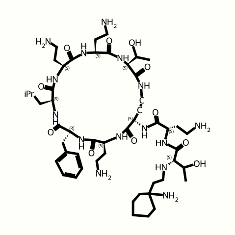 CC(C)C[C@@H]1NC(=O)[C@@H](Cc2ccccc2)NC(=O)[C@H](CCN)NC(=O)[C@@H](NC(=O)[C@H](CCN)NC(=O)[C@@H](NCCC2(N)CCCCC2)C(C)O)CCNC(=O)[C@H](C(C)O)NC(=O)[C@H](CCN)NC(=O)[C@H](CCN)NC1=O